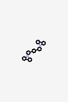 C1=C=C(c2cccc(-n3c4ccccc4c4ccccc43)c2)C=CC=1c1cccc(-n2c3ccccc3c3ccccc32)c1